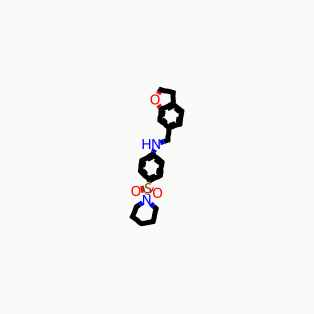 O=S(=O)(c1ccc(NCc2ccc3c(c2)OCC3)cc1)N1CCCCC1